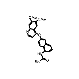 COc1cc2nccc(Oc3ccc4c(NC(=O)C(C)(C)C)cccc4c3)c2cc1OC